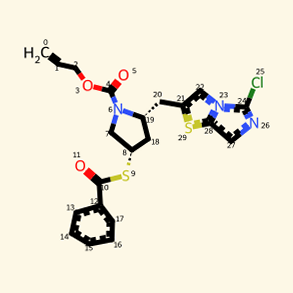 C=CCOC(=O)N1C[C@@H](SC(=O)c2ccccc2)C[C@H]1Cc1cn2c(Cl)ncc2s1